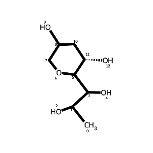 CC(O)C(O)C1OCC(O)C[C@@H]1O